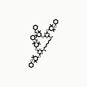 CN(CCCCCCN(C)c1nc(OC2CC(C)(C)N(OC3CCCCC3)C(C)(C)C2)nc(OC2CC(C)(C)N(OC3CCCCC3)C(C)(C)C2)n1)c1nc(OC2CC(C)(C)N(OC3CCCCC3)C(C)(C)C2)nc(OC2CC(C)(C)N(OC3CCCCC3)C(C)(C)C2)n1